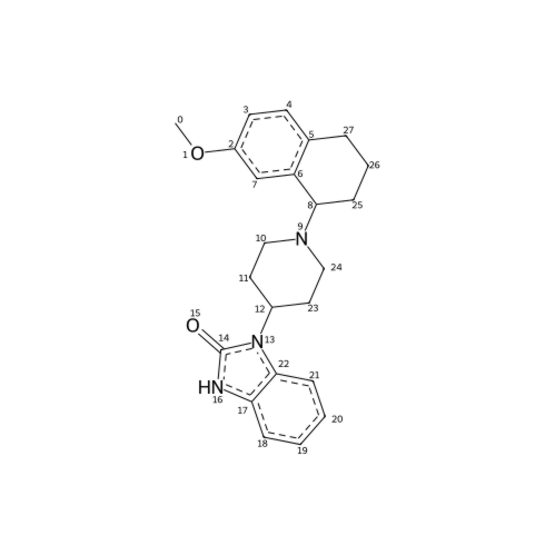 COc1ccc2c(c1)C(N1CCC(n3c(=O)[nH]c4ccccc43)CC1)CCC2